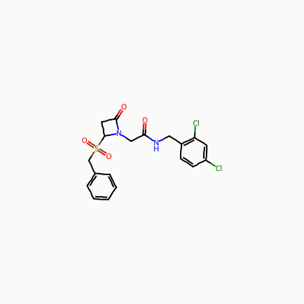 O=C(CN1C(=O)CC1S(=O)(=O)Cc1ccccc1)NCc1ccc(Cl)cc1Cl